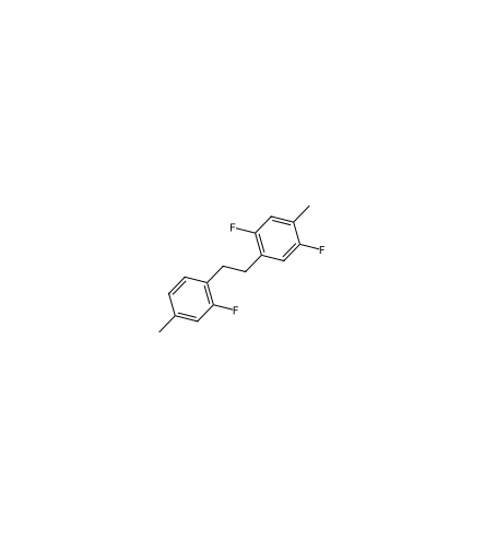 Cc1ccc(CCc2cc(F)c(C)cc2F)c(F)c1